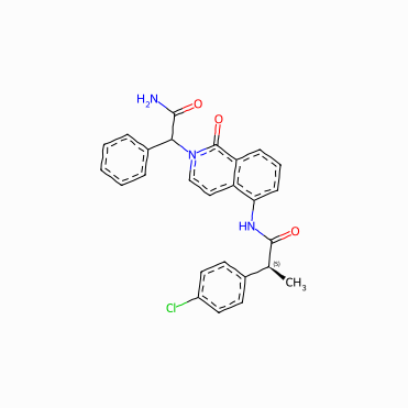 C[C@H](C(=O)Nc1cccc2c(=O)n(C(C(N)=O)c3ccccc3)ccc12)c1ccc(Cl)cc1